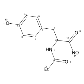 CCC(=O)NC(Cc1ccc(O)cc1)C(=O)N=O